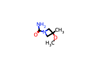 COC1(C)CN(C(N)=O)C1